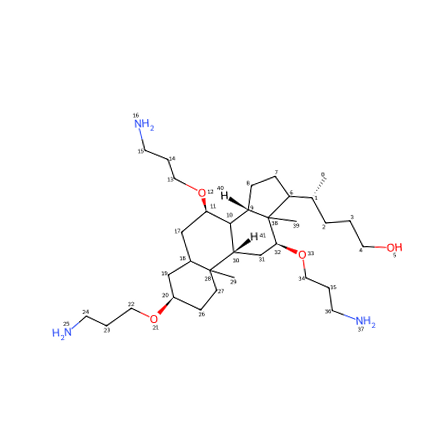 C[C@H](CCCO)C1CC[C@H]2C3[C@H](OCCCN)CC4C[C@H](OCCCN)CCC4(C)[C@H]3C[C@H](OCCCN)C12C